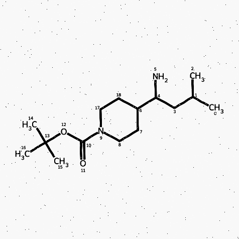 CC(C)CC(N)C1CCN(C(=O)OC(C)(C)C)CC1